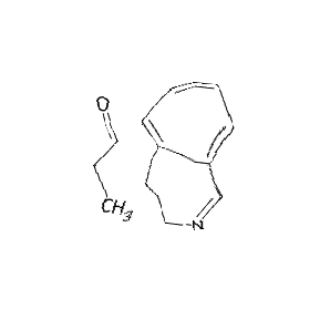 C1=NCCc2ccccc21.CCC=O